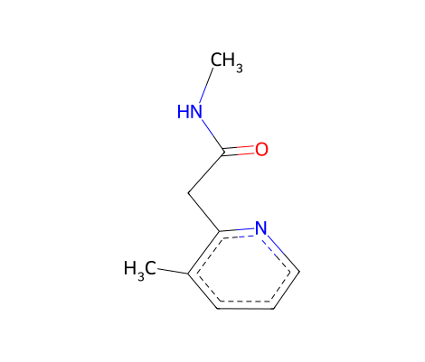 CNC(=O)Cc1ncccc1C